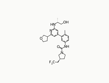 Cc1ccc(NC(=O)N2CC[C@@H](CC(F)(F)F)C2)cc1-c1cc(N[C@H](C)CO)nc(C2CCOC2)c1